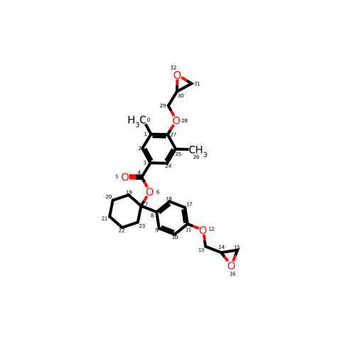 Cc1cc(C(=O)OC2(c3ccc(OCC4CO4)cc3)CCCCC2)cc(C)c1OCC1CO1